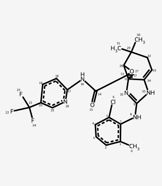 Cc1cccc(Cl)c1NC1=NC23C=C(C(=O)Nc4ccc(C(F)(F)F)cn4)OC2C(C)(C)CC=C3N1